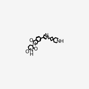 O=C1CCC(N2Cc3cc(-c4cnn(C5CC6(CCNCC6)C5)c4)ccc3C2=O)C(=O)N1